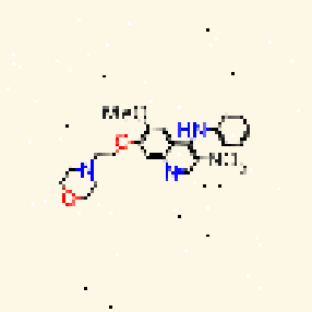 COc1cc2c(Nc3ccccc3)c([N+](=O)[O-])cnc2cc1OCCN1CCOCC1